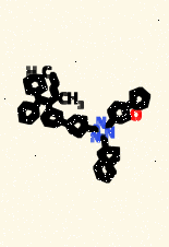 C/C=C\C=C(/C)C(=C(c1ccccc1)c1ccccc1)c1cccc(-c2ccc(-c3nc(-c4ccc5ccccc5c4)nc(-c4ccc5c(c4)oc4ccccc45)n3)cc2)c1